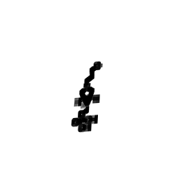 [O]CCCN1C[C@@H]2[C@@H](COP(=O)(O)O)[C@@H]2C1